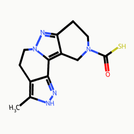 Cc1[nH]nc2c1CCn1nc3c(c1-2)CN(C(=O)S)CC3